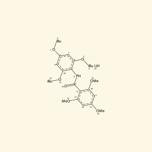 CCC(C)Oc1cc(OC(C)CC)c(PC(=O)c2c(OC)cc(OC)cc2OC)c(OC(C)CC)c1.[LiH]